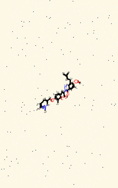 COc1ccc(C(=O)Nc2cc3ccc(OCC4CCCN(C)C4)c(C)c3oc2=O)cc1CC=C(C)C